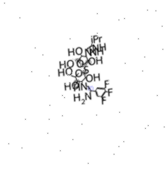 CC(C)C1=CN(C2C(O)[C@@H](CO)O[C@@H](S[C@@H]3OC(CO)[C@H](O)C(N/C=C(\N)c4cc(F)c(F)c(F)c4)C3O)[C@@H]2O)NN1